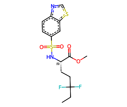 CCC(F)(F)CC[C@H](NS(=O)(=O)c1ccc2ncsc2c1)C(=O)OC